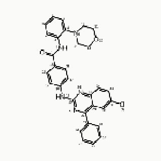 O=C(Nc1ccccc1N1CCOCC1)c1ccc(Nc2nc(-c3ccccc3)c3cc(Cl)ccc3n2)cc1